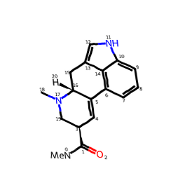 CNC(=O)[C@@H]1C=C2c3cccc4[nH]cc(c34)C[C@H]2N(C)C1